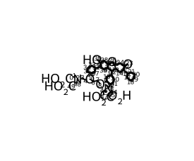 O=C(O)CN(CCOCCOc1cc(-c2c3cc(-c4ccccc4)c(=O)cc-3oc3cc(O)c(-c4ccccc4)cc23)ccc1N(CC(=O)O)CC(=O)O)CC(=O)O